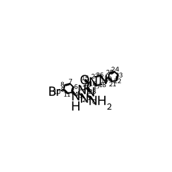 Nc1nc(Nc2cccc(Br)c2)nc(C(=O)N2CCN(c3ccccc3)CC2)n1